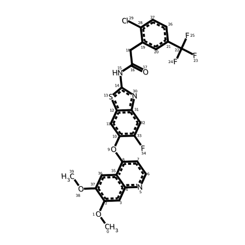 COc1cc2nccc(Oc3cc4sc(NC(=O)Cc5cc(C(F)(F)F)ccc5Cl)nc4cc3F)c2cc1OC